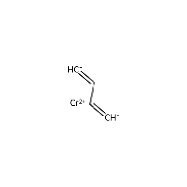 [CH-]=CC=[CH-].[Cr+2]